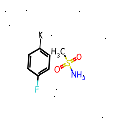 CS(N)(=O)=O.Fc1cc[c]([K])cc1